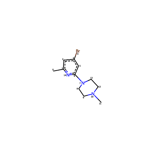 Cc1cc(Br)cc(N2CCN(C)CC2)n1